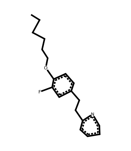 CCCCCCOc1ccc(CCc2ccccn2)cc1F